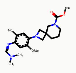 COc1cc(/N=C\N(C)C)c(C#N)cc1N1CC2(CCCN(C(=O)OC(C)(C)C)C2)C1